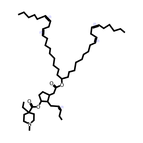 CC/C=C\CC1C(CC(=O)OC(CCCCCCCC/C=C\C/C=C\CCCCC)CCCCCCCC/C=C\C/C=C\CCCCC)CCC1OC(=O)C1(CC)CCN(C)CC1